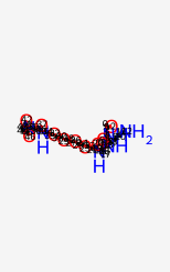 CC(=O)CNC(=O)[C@H](CCCCN)NC(=O)[C@H](C)NC(=O)CCOCCOCCOCCOCCNC(=O)CCN1C(=O)C=CC1=O